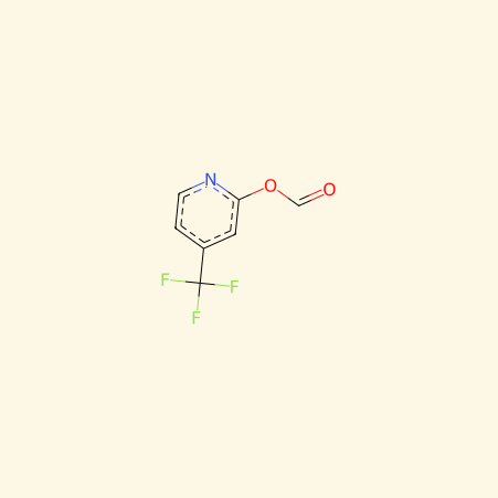 O=COc1cc(C(F)(F)F)ccn1